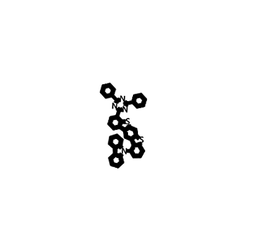 c1ccc(-c2nc(-c3ccccc3)nc(-c3cccc4c3sc3cc5sc6cccc(-n7c8ccccc8c8ccccc87)c6c5cc34)n2)cc1